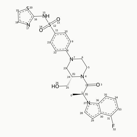 C[C@@H](C(=O)N1CCN(c2ccc(S(=O)(=O)Nc3nccs3)cc2)C[C@H]1CO)n1ccc2c(F)cccc21